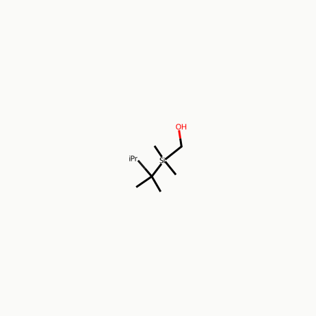 CC(C)C(C)(C)[Si](C)(C)CO